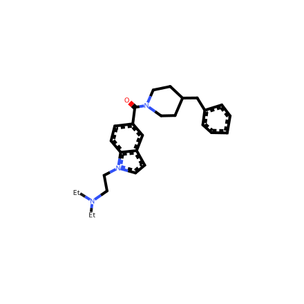 CCN(CC)CCn1ccc2cc(C(=O)N3CCC(Cc4ccccc4)CC3)ccc21